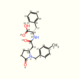 Cc1ccc(CN2C(=O)CC[C@H]2CC(=O)N[C@@H](Cc2ccccc2)C(=O)O)cc1